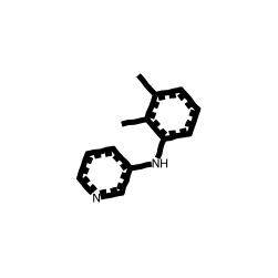 Cc1cccc(Nc2cccnc2)c1C